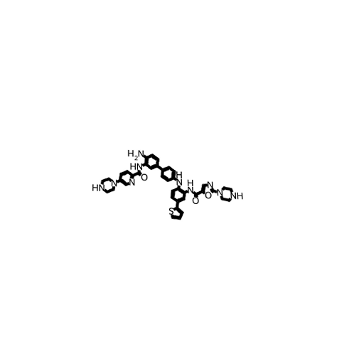 Nc1ccc(-c2ccc(Nc3ccc(-c4cccs4)cc3NC(=O)c3cnc(N4CCNCC4)o3)cc2)cc1NC(=O)c1ccc(N2CCNCC2)cn1